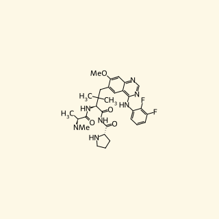 CN[C@@H](C)C(=O)N[C@H](C(=O)NC(=O)[C@@H]1CCCN1)C(C)(C)Cc1cc2c(Nc3cccc(F)c3F)ncnc2cc1OC